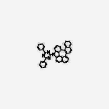 c1ccc(-c2nc(-c3ccccc3)nc(-n3c4cccc5c4c4c6c(cccc6ccc43)-c3ccc4ccccc4c3-5)n2)cc1